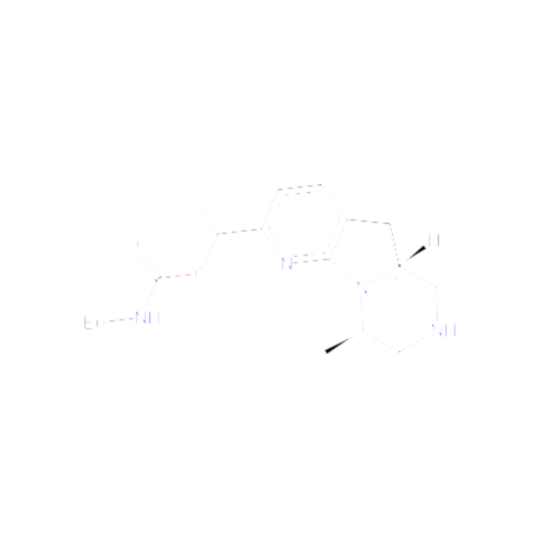 CCNC(=O)OC(CC)c1ccc2c(n1)N1[C@@H](CNC[C@H]1C)C2